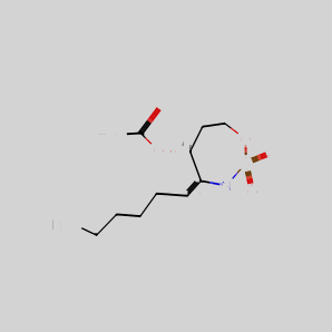 CCCCC/C=C1/NS(=O)(=O)OCC[C@H]1OC(C)=O